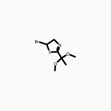 COC(C)(OC)C1=NCC(Br)S1